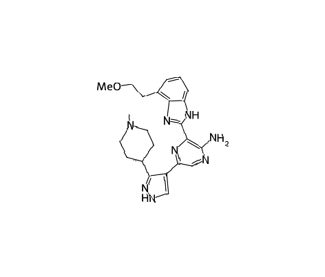 COCCc1cccc2[nH]c(-c3nc(-c4c[nH]nc4C4CCN(C)CC4)cnc3N)nc12